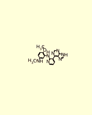 CNc1ccc(OC)c(Nc2ncccc2-c2ncnc3[nH]cnc23)c1